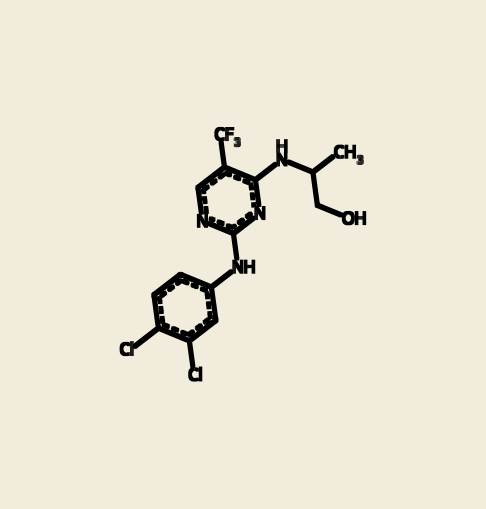 CC(CO)Nc1nc(Nc2ccc(Cl)c(Cl)c2)ncc1C(F)(F)F